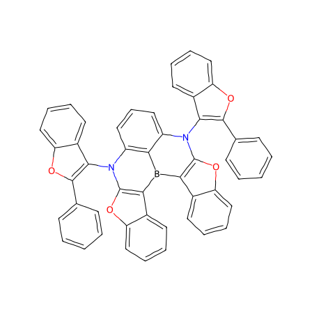 c1ccc(-c2oc3ccccc3c2N2c3cccc4c3B(c3c2oc2ccccc32)c2c(oc3ccccc23)N4c2c(-c3ccccc3)oc3ccccc23)cc1